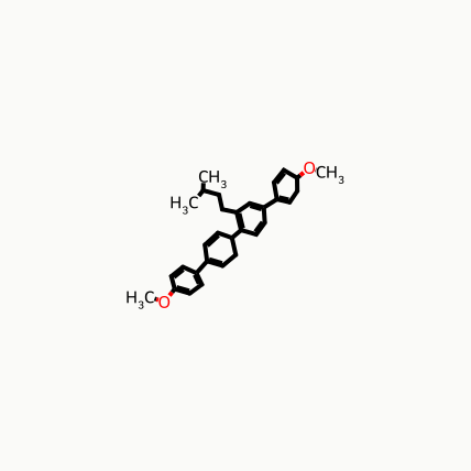 COc1ccc(C2=CCC(c3ccc(C4=CCC(OC)C=C4)cc3CCC(C)C)C=C2)cc1